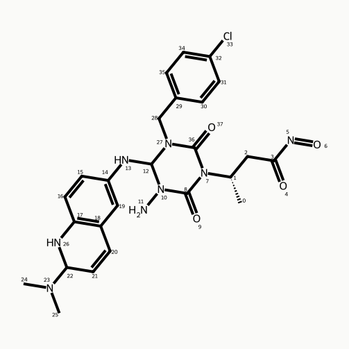 C[C@@H](CC(=O)N=O)N1C(=O)N(N)C(Nc2ccc3c(c2)C=CC(N(C)C)N3)N(Cc2ccc(Cl)cc2)C1=O